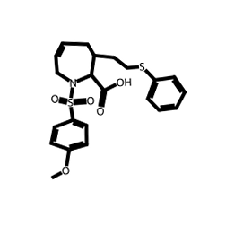 COc1ccc(S(=O)(=O)N2CC=CCC(CCSc3ccccc3)C2C(=O)O)cc1